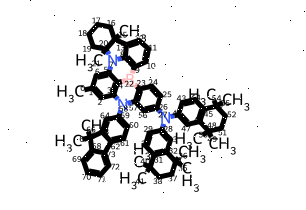 Cc1cc2c3c(c1)N1c4c(cccc4C4(C)CCCCC14C)B3c1ccc(N(c3ccc4c(c3)C(C)(C)CCC4(C)C)c3ccc4c(c3)C(C)(C)CCC4(C)C)cc1N2c1ccc2c(c1)C(C)(C)c1ccccc1-2